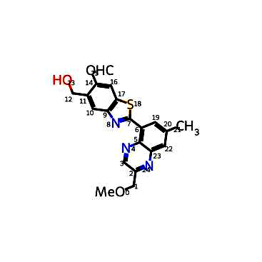 COCc1cnc2c(-c3nc4cc(CO)c(C=O)cc4s3)cc(C)cc2n1